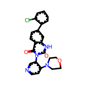 O=c1[nH]c2cc(-c3ccccc3Cl)ccc2c(=O)n1-c1cnccc1N1CCOCC1